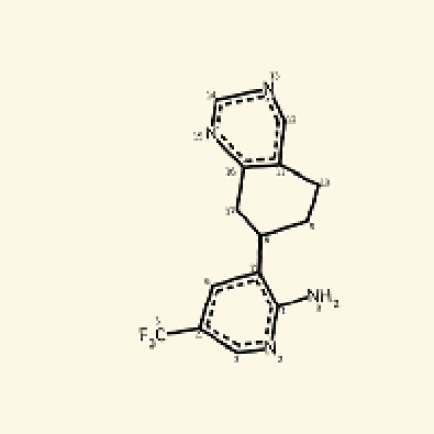 Nc1ncc(C(F)(F)F)cc1C1CCc2cncnc2C1